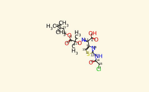 CC(C)(O/N=C(/C(=O)O)c1csc(NC(=O)CCl)n1)C(=O)OCC[Si](C)(C)C